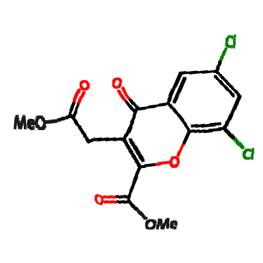 COC(=O)Cc1c(C(=O)OC)oc2c(Cl)cc(Cl)cc2c1=O